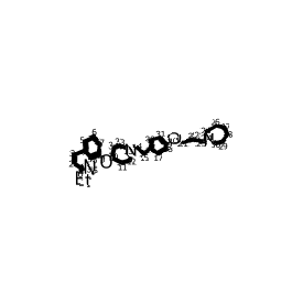 CCc1ccc2cccc(OC3CCN(CCc4ccc(OCCCN5CCCCCC5)cc4)CC3)c2n1